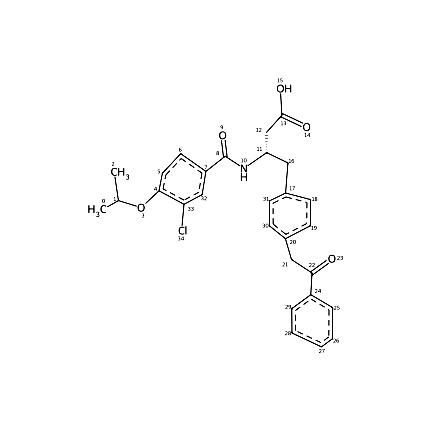 CC(C)Oc1ccc(C(=O)N[C@H](CC(=O)O)Cc2ccc(CC(=O)c3ccccc3)cc2)cc1Cl